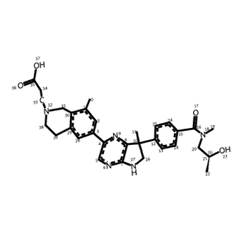 Cc1cc(-c2cnc3c(n2)C(C)(c2ccc(C(=O)N(C)C[C@H](C)O)cc2)CN3)cc2c1CN(CCC(=O)O)CC2